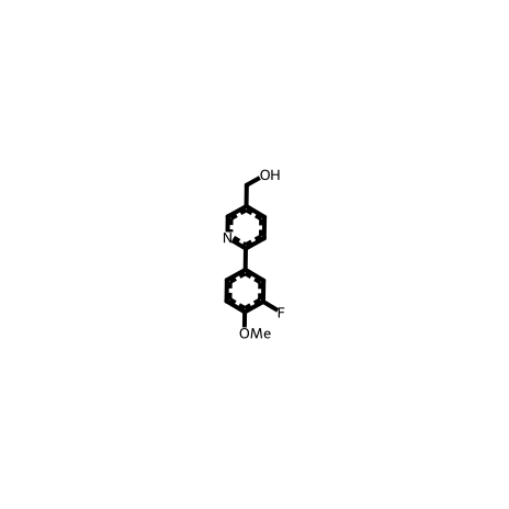 COc1ccc(-c2ccc(CO)cn2)cc1F